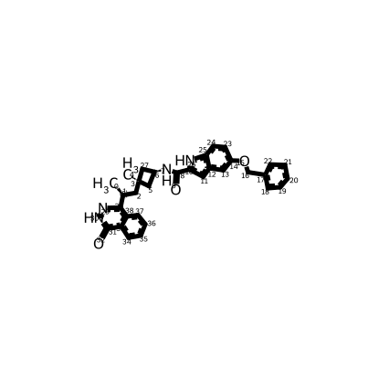 C[C@@H](C[C@]1(C)C[C@@H](NC(=O)c2cc3cc(OCc4ccccc4)ccc3[nH]2)C1)c1n[nH]c(=O)c2ccccc12